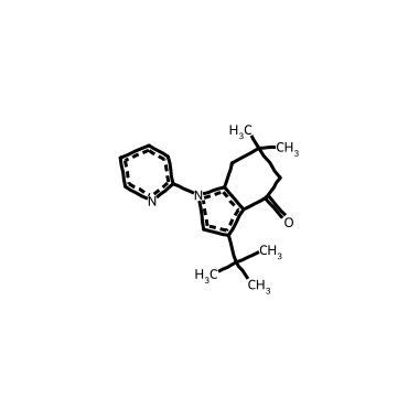 CC1(C)CC(=O)c2c(C(C)(C)C)cn(-c3ccccn3)c2C1